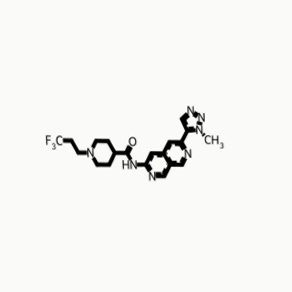 Cn1nncc1-c1cc2cc(NC(=O)C3CCN(CCC(F)(F)F)CC3)ncc2cn1